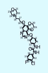 O=C(Nc1ccc(Oc2ncnc3cc(OCCCN4CCOCC4)c4c(c23)OCCO4)cc1)Nc1ccc(F)c(Cl)c1